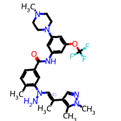 C/C(=C\N(N)c1cc(C(=O)Nc2cc(OC(F)(F)F)cc(N3CCN(C)CC3)c2)ccc1C)c1cnn(C)c1C